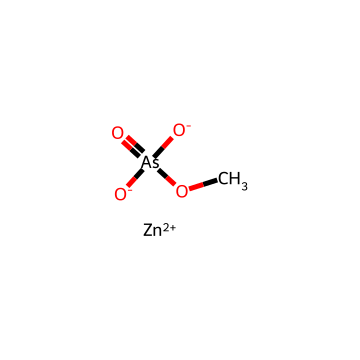 CO[As](=O)([O-])[O-].[Zn+2]